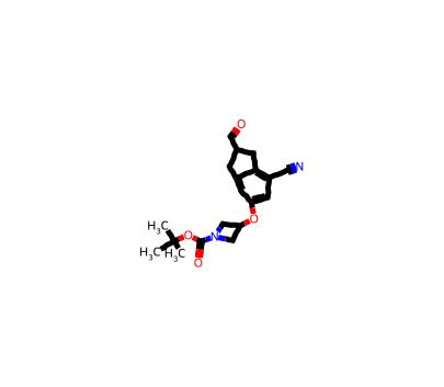 CC(C)(C)OC(=O)N1CC(Oc2cc(C#N)c3c(c2)CC(C=O)C3)C1